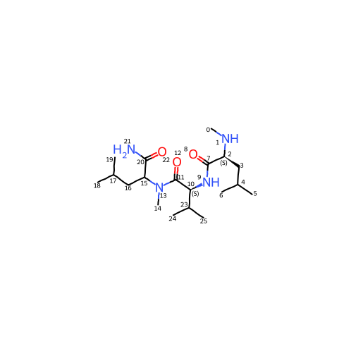 CN[C@@H](CC(C)C)C(=O)N[C@H](C(=O)N(C)C(CC(C)C)C(N)=O)C(C)C